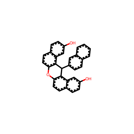 Oc1ccc2ccc3c(c2c1)C(c1ccc2ccccc2c1)c1c(ccc2ccc(O)cc12)O3